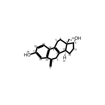 C=C1CC2=C(CC[C@]3(C)[C@H](O)CC[C@@H]23)c2ccc(O)cc21